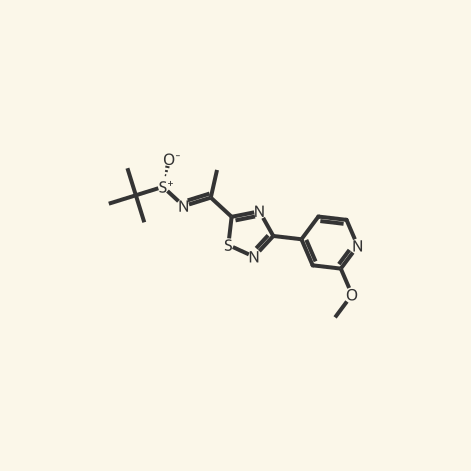 COc1cc(-c2nsc(C(C)=N[S@@+]([O-])C(C)(C)C)n2)ccn1